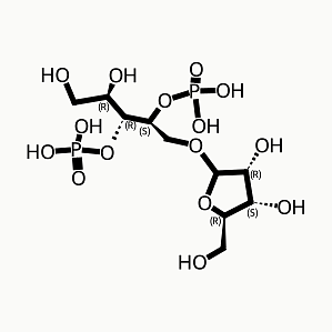 O=P(O)(O)O[C@H]([C@H](O)CO)[C@H](COC1O[C@H](CO)[C@@H](O)[C@H]1O)OP(=O)(O)O